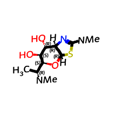 CNC1=N[C@@H]2[C@@H](O)[C@H](O)[C@H]([C@@H](C)NC)O[C@@H]2S1